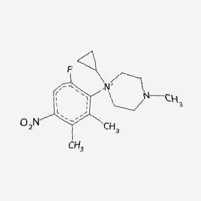 Cc1c([N+](=O)[O-])cc(F)c([N+]2(C3CC3)CCN(C)CC2)c1C